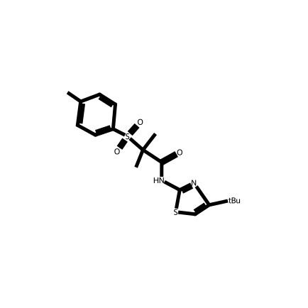 Cc1ccc(S(=O)(=O)C(C)(C)C(=O)Nc2nc(C(C)(C)C)cs2)cc1